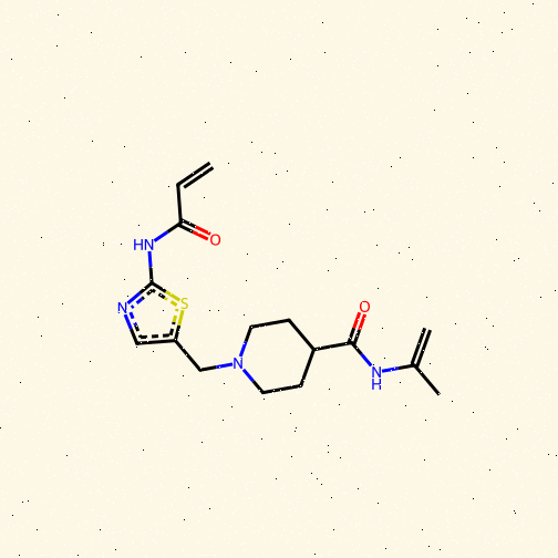 C=CC(=O)Nc1ncc(CN2CCC(C(=O)NC(=C)C)CC2)s1